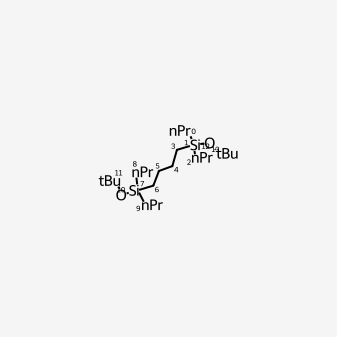 CCC[Si](CCC)(CCCC[Si](CCC)(CCC)OC(C)(C)C)OC(C)(C)C